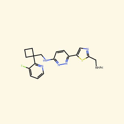 CC(=O)NCc1ncc(-c2ccc(NCC3(c4ncccc4F)CCC3)nn2)s1